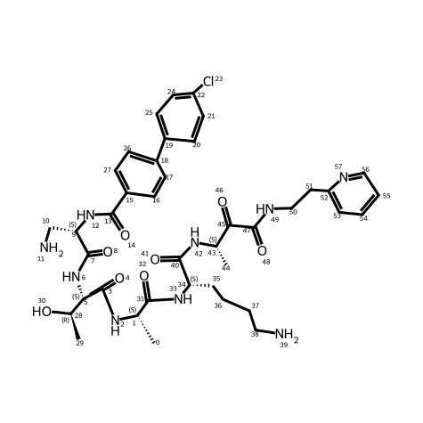 C[C@H](NC(=O)[C@@H](NC(=O)[C@H](CN)NC(=O)c1ccc(-c2ccc(Cl)cc2)cc1)[C@@H](C)O)C(=O)N[C@@H](CCCCN)C(=O)N[C@@H](C)C(=O)C(=O)NCCc1ccccn1